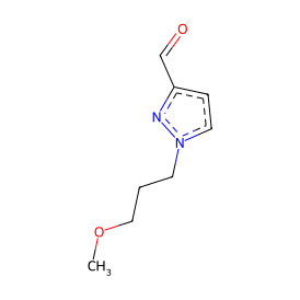 COCCCn1ccc(C=O)n1